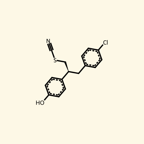 N#CSC[C@@H](Cc1ccc(Cl)cc1)c1ccc(O)cc1